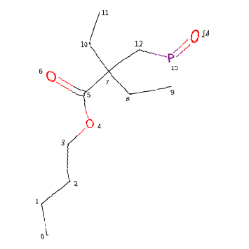 CCCCOC(=O)C(CC)(CC)CP=O